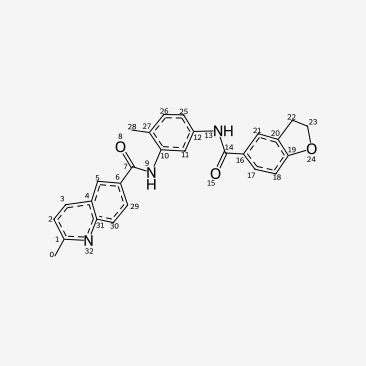 Cc1ccc2cc(C(=O)Nc3cc(NC(=O)c4ccc5c(c4)CCO5)ccc3C)ccc2n1